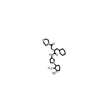 CC1C(N2CCC(NC(=O)[C@@H](CC(=O)N3CCOCC3)CC3CCCCC3)C2)CCC[C@H]1C#N